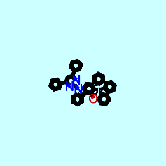 c1ccc(-c2cc(-c3ccccc3)nc(-n3c4ccccc4c4c5c(ccc43)[Si](c3ccccc3)(c3ccccc3)c3ccccc3O5)n2)cc1